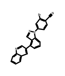 N#Cc1ccc(-n2ncc3c(-c4cnc5ccccc5c4)cccc32)cc1Br